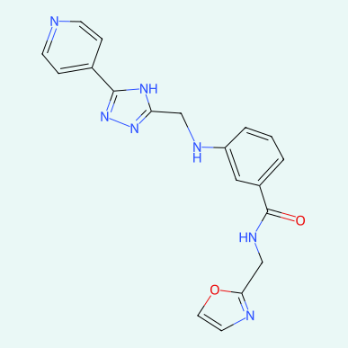 O=C(NCc1ncco1)c1cccc(NCc2nnc(-c3ccncc3)[nH]2)c1